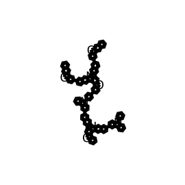 c1ccc(-n2c3ccccc3c3cc(-c4ccc5cc6c7c8c(cc9c%10cc%11ccc(-c%12ccc%13c(c%12)c%12ccccc%12n%13-c%12ccc(-c%13ccc%14oc%15cc%16c%17cc%18ccc(-c%19ccc%20oc%21cc%22ccccc%22cc%21c%20c%19)cc%18cc%17n%17c%18cc%19cc(-c%20ccc%21oc%22cc%23ccccc%23cc%22c%21c%20)ccc%19cc%18c(c%15c%14c%13)c%16%17)cc%12)cc%11cc%10n(c6cc5c4)c97)oc4ccccc48)ccc32)cc1